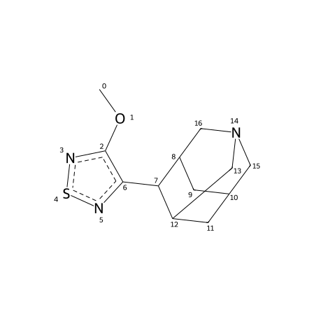 COc1nsnc1C1C2CC3CC1CN(C3)C2